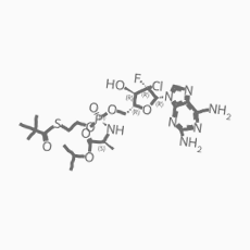 CC(C)OC(=O)[C@H](C)N[P@@](=O)(OCCSC(=O)C(C)(C)C)OC[C@H]1O[C@@H](n2cnc3c(N)nc(N)nc32)[C@](F)(Cl)[C@@H]1O